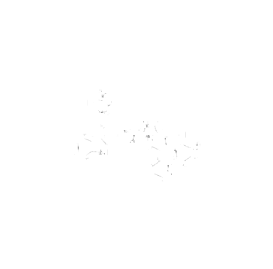 Cc1cc(-c2ncccc2-c2ccc3cnc(C(=O)OC[C@@H](CC(=O)OC(C)(C)C)Cc4c[nH]c5ccccc45)n3c2)ccc1F